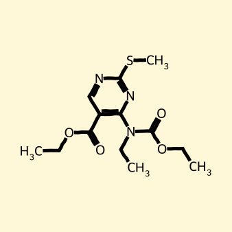 CCOC(=O)c1cnc(SC)nc1N(CC)C(=O)OCC